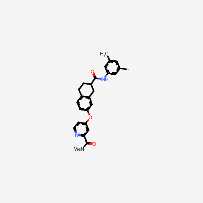 [CH2]c1cc(NC(=O)C2CCc3ccc(Oc4ccnc(C(=O)NC)c4)cc3C2)cc(C(F)(F)F)c1